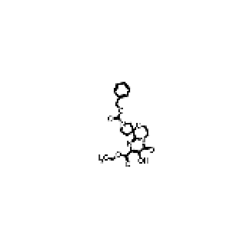 CCOC(=O)c1nc2n(c(=O)c1O)CCOC21CCN(C(=O)OCc2ccccc2)C1